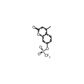 Cc1cc(=O)oc2cc(OS(=O)(=O)C(F)(F)F)ccc12